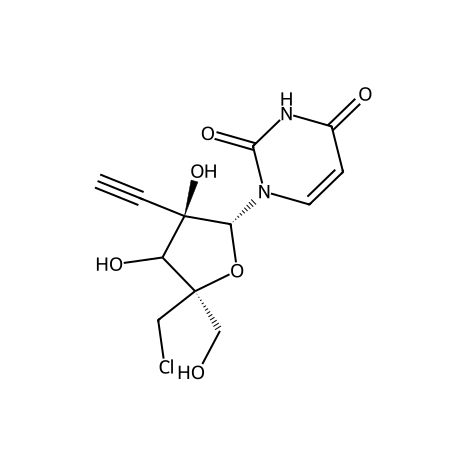 C#C[C@@]1(O)C(O)[C@](CO)(CCl)O[C@H]1n1ccc(=O)[nH]c1=O